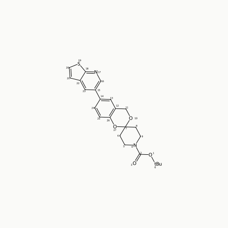 CC(C)(C)OC(=O)N1CCC2(CC1)OCc1cc(-c3cnc4sccc4c3)ccc1O2